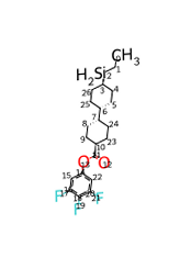 CC[SiH2][C@H]1CC[C@H]([C@H]2CC[C@H](C(=O)Oc3cc(F)c(F)c(F)c3)CC2)CC1